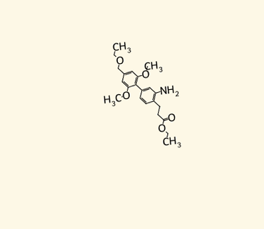 CCOCc1cc(OC)c(-c2ccc(CCC(=O)OCC)c(N)c2)c(OC)c1